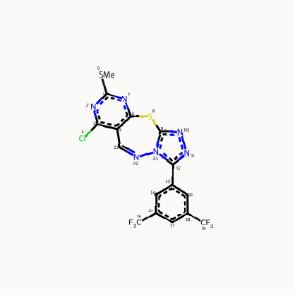 CSc1nc(Cl)c2c(n1)Sc1nnc(-c3cc(C(F)(F)F)cc(C(F)(F)F)c3)n1N=C2